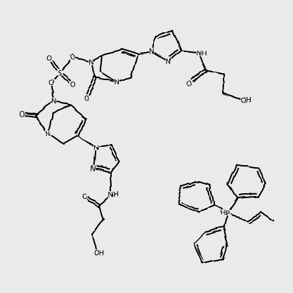 C/C=C/[PH](c1ccccc1)(c1ccccc1)c1ccccc1.O=C(CCO)Nc1ccn(C2=CC3CN(C2)C(=O)N3OS(=O)(=O)ON2C(=O)N3CC(n4ccc(NC(=O)CCO)n4)=CC2C3)n1